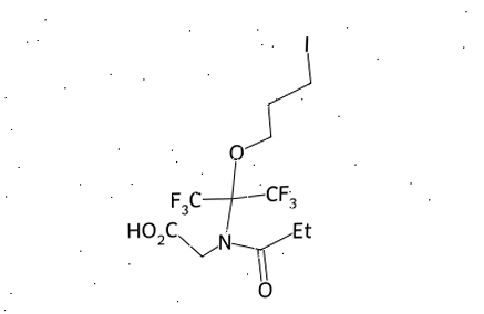 CCC(=O)N(CC(=O)O)C(OCCCI)(C(F)(F)F)C(F)(F)F